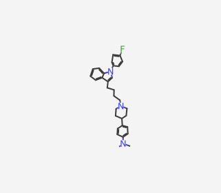 CN(C)c1ccc(C2CCN(CCCCc3cn(-c4ccc(F)cc4)c4ccccc34)CC2)cc1